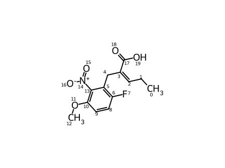 CCC=C(Cc1c(F)ccc(OC)c1[N+](=O)[O-])C(=O)O